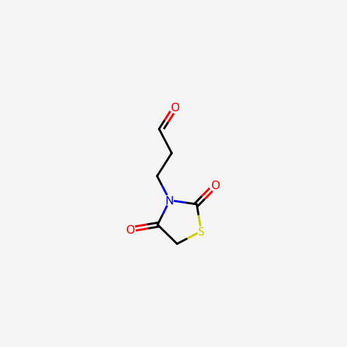 O=CCCN1C(=O)CSC1=O